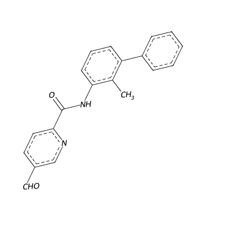 Cc1c(NC(=O)c2ccc(C=O)cn2)cccc1-c1ccccc1